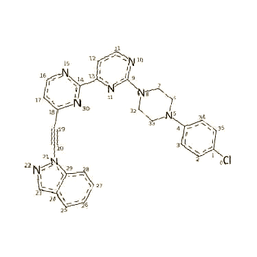 Clc1ccc(N2CCN(c3nccc(-c4nccc(C#Cn5ncc6ccccc65)n4)n3)CC2)cc1